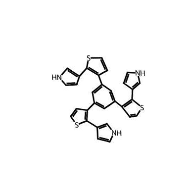 c1cc(-c2sccc2-c2cc(-c3ccsc3-c3cc[nH]c3)cc(-c3ccsc3-c3cc[nH]c3)c2)c[nH]1